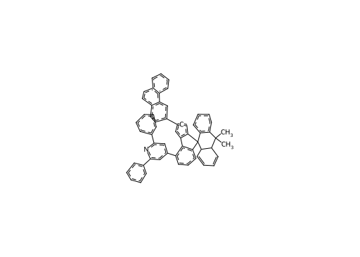 CC1(C)c2ccccc2C2(c3ccc(-c4ccc5ccc6ccccc6c5c4)cc3-c3c(-c4cc(-c5ccccc5)nc(-c5ccccc5)c4)cccc32)C2C=CC=CC21